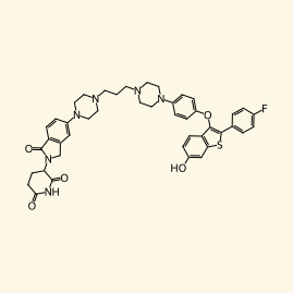 O=C1CCC(N2Cc3cc(N4CCN(CCCN5CCN(c6ccc(Oc7c(-c8ccc(F)cc8)sc8cc(O)ccc78)cc6)CC5)CC4)ccc3C2=O)C(=O)N1